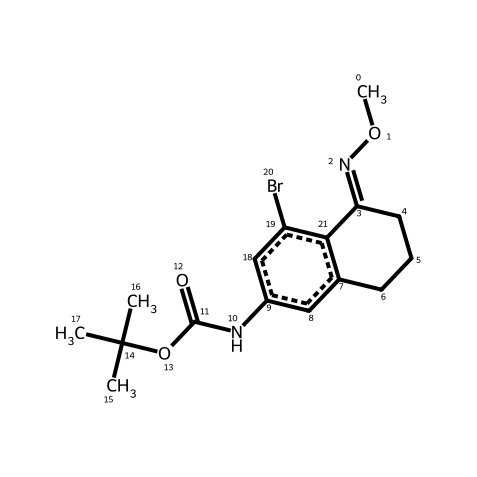 CON=C1CCCc2cc(NC(=O)OC(C)(C)C)cc(Br)c21